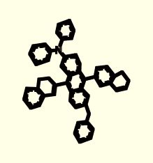 C1=Cc2cc(-c3c4ccc(N(c5ccccc5)c5ccccc5)cc4c(C4=Cc5ccccc5CC4)c4ccc(Cc5ccccc5)cc34)ccc2CC1